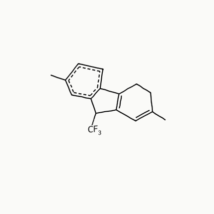 CC1=CC2=C(CC1)c1ccc(C)cc1C2C(F)(F)F